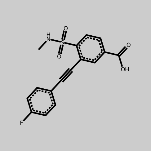 CNS(=O)(=O)c1ccc(C(=O)O)cc1C#Cc1ccc(F)cc1